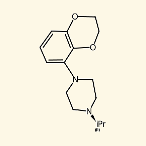 [CH2][C@H](C)N1CCN(c2cccc3c2OCCO3)CC1